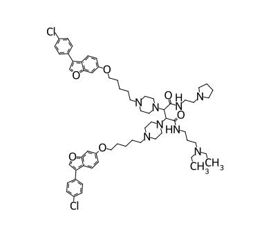 CCN(CC)CCCNC(=O)C(C(C(=O)NCCN1CCCC1)N1CCN(CCCCCOc2ccc3c(-c4ccc(Cl)cc4)coc3c2)CC1)N1CCN(CCCCCOc2ccc3c(-c4ccc(Cl)cc4)coc3c2)CC1